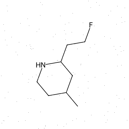 CC1CCNC(CCF)C1